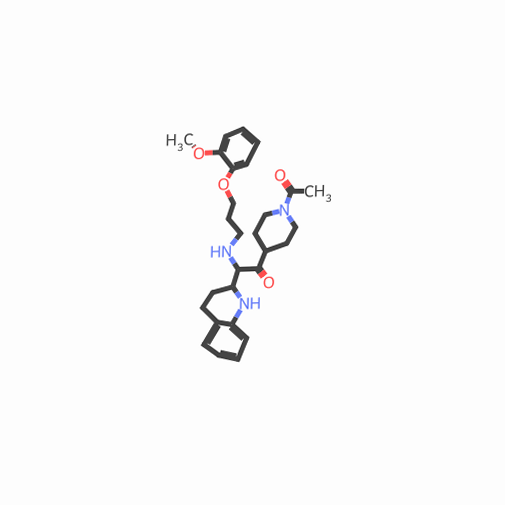 COc1ccccc1OCCCNC(C(=O)C1CCN(C(C)=O)CC1)C1CCc2ccccc2N1